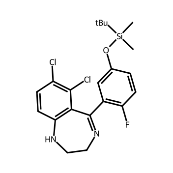 CC(C)(C)[Si](C)(C)Oc1ccc(F)c(C2=NCCNc3ccc(Cl)c(Cl)c32)c1